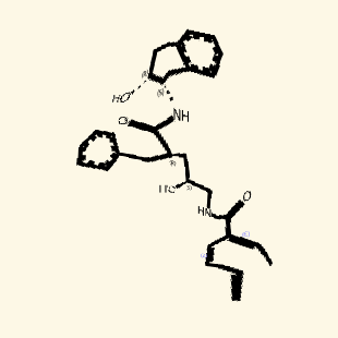 C=C/C=C\C(=C/C)C(=O)NC[C@@H](O)C[C@@H](Cc1ccccc1)C(=O)N[C@H]1c2ccccc2C[C@H]1O